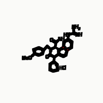 COc1ccc(CN(C(=O)C(c2ccccc2)c2ccccc2)[C@H](Cc2cccc(NC(=N)N)c2)C(N)=O)cc1.Cl